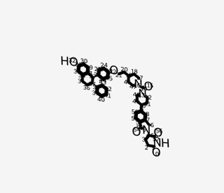 O=C1CCC(N2Cc3cc(C4CCN(C(=O)N5CCC(CCOc6ccc([C@@H]7c8ccc(O)cc8CC[C@@H]7c7ccccc7)cc6)CC5)CC4)ccc3C2=O)C(=O)N1